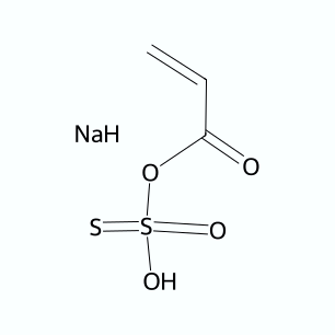 C=CC(=O)OS(=O)(O)=S.[NaH]